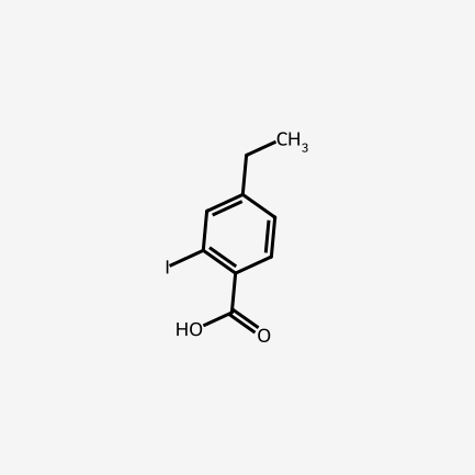 CCc1ccc(C(=O)O)c(I)c1